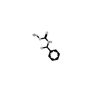 CC(C)(C)OC(=O)NC([O])c1ccccc1